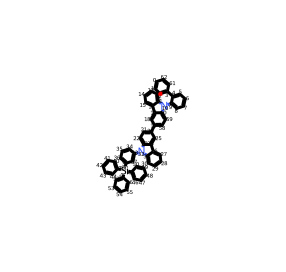 c1ccc(-c2ccccc2-n2c3ccccc3c3cc(-c4ccc5c(c4)c4ccccc4n5-c4cccc([Si](c5ccccc5)(c5ccccc5)c5ccccc5)c4)ccc32)cc1